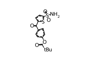 CC(C)(C)C(=O)Oc1ccc(C(=O)c2ccc(S(N)(=O)=O)s2)cc1